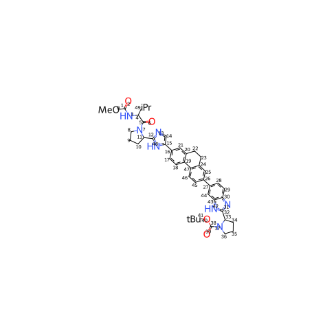 COC(=O)NC(C(=O)N1CCCC1c1ncc(-c2ccc3c(c2)CCc2cc(-c4ccc5nc(C6CCCN6C(=O)OC(C)(C)C)[nH]c5c4)ccc2-3)[nH]1)C(C)C